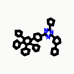 c1ccc(-c2cccc(-c3nc(-c4ccccc4)nc(-c4ccc(-c5cc(-c6ccccc6)c(-c6ccccc6)c(-c6ccccc6)c5-c5ccccc5)cc4)n3)c2)cc1